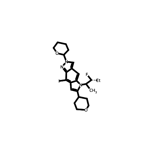 CC[C@@H](F)C(C)n1c(C2CCOCC2)cc2c(I)c3nn(C4CCCCO4)cc3cc21